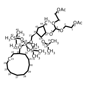 CC(=O)OCCOC(OCCOC(C)=O)O[C@@H]1[C@H](OP(C)C)[C@@H](CO[Si](OC2CCCCCCCCCCC2)(O[Si](C)(C)C)O[Si](C)(C)C)C[C@H]1C